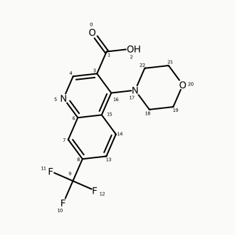 O=C(O)c1cnc2cc(C(F)(F)F)ccc2c1N1CCOCC1